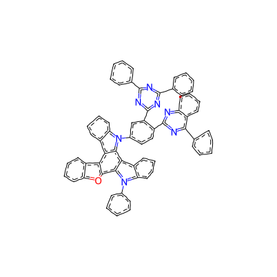 c1ccc(-c2nc(-c3ccccc3)nc(-c3cc(-n4c5ccccc5c5c6c7ccccc7oc6c6c(c7ccccc7n6-c6ccccc6)c54)ccc3-c3nc(-c4ccccc4)c4ccccc4n3)n2)cc1